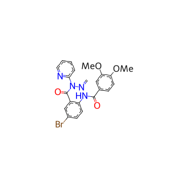 C=NN(C(=O)c1cc(Br)ccc1NC(=O)c1ccc(OC)c(OC)c1)c1ccccn1